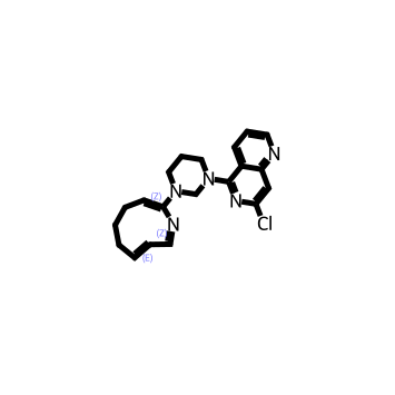 Clc1cc2ncccc2c(N2CCCN(C3=C/CCC/C=C/C=N\3)C2)n1